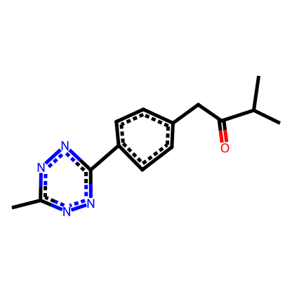 Cc1nnc(-c2ccc(CC(=O)C(C)C)cc2)nn1